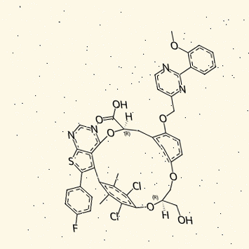 COc1ccccc1-c1nccc(COc2ccc3cc2C[C@H](C(=O)O)Oc2ncnc4sc(-c5ccc(F)cc5)c(c24)-c2c(C)c(Cl)c(c(Cl)c2C)O[C@H](CO)CO3)n1